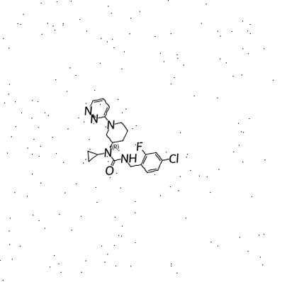 O=C(NCc1ccc(Cl)cc1F)N(C1CC1)[C@@H]1CCCN(c2cccnn2)C1